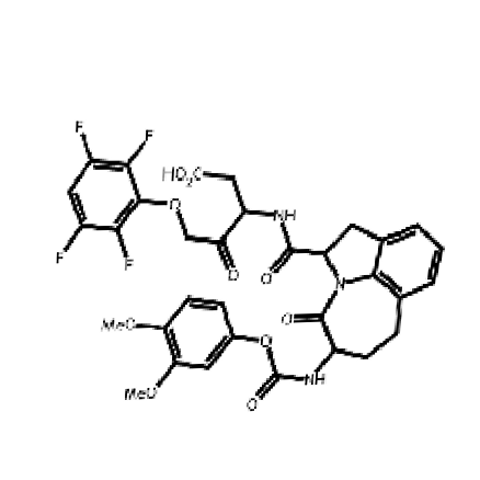 COc1ccc(OC(=O)NC2CCc3cccc4c3N(C2=O)C(C(=O)NC(CC(=O)O)C(=O)COc2c(F)c(F)cc(F)c2F)C4)cc1OC